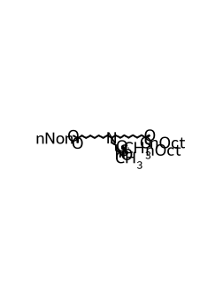 CCCCCCCCCOC(=O)CCCCCCCN(CCCCCCCC(=O)OC(CCCCCCCC)CCCCCCCC)CCCN(C)S(C)(=O)=O